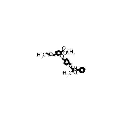 CCCOCc1ccc(C(=O)OC)c(OCc2ccc(OCc3nc(-c4ccccc4)oc3C)cc2)c1